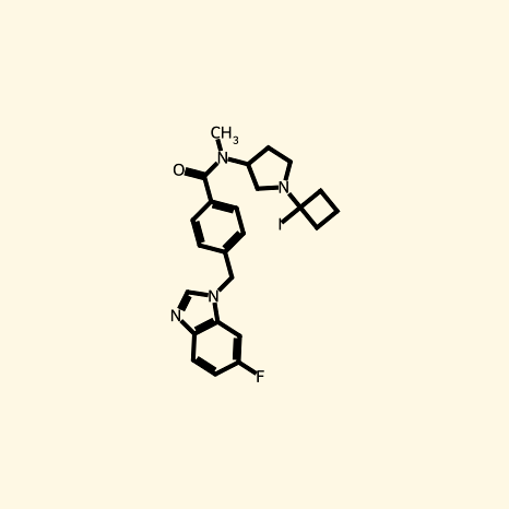 CN(C(=O)c1ccc(Cn2cnc3ccc(F)cc32)cc1)C1CCN(C2(I)CCC2)C1